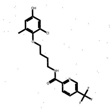 Cc1cc(O)cc(Cl)c1OCCCCNC(=O)c1ccc(C(F)(F)F)cn1